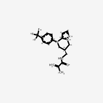 C=C(C)C(=O)NC[C@H]1CN(c2ccc(C(F)(F)F)cc2)c2ccnn2C1